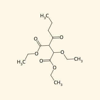 CCCC(=O)C(C(=O)OCC)C(OCC)C(=O)OCC